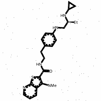 CC[C@@H](CNc1ccc(CCNC(=O)c2sc3ncccc3c2NC)cc1)NC1CC1